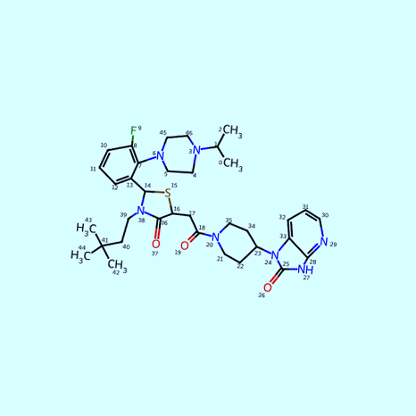 CC(C)N1CCN(c2c(F)cccc2C2SC(CC(=O)N3CCC(n4c(=O)[nH]c5ncccc54)CC3)C(=O)N2CCC(C)(C)C)CC1